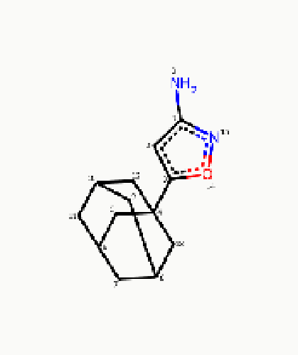 Nc1cc(C23CC4CC(CC(C4)C2)C3)on1